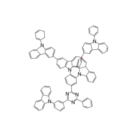 C1=CCCC(n2c3ccccc3c3cc(-c4ccc5c(c4)c4cc(-c6ccc7c(c6)c6ccccc6n7-c6ccccc6)ccc4n5-c4ccc(-c5nc(-c6ccccc6)nc(-c6cccc(-n7c8ccccc8c8ccccc87)c6)n5)cc4N4c5ccccc5C5C=CC=CC54)ccc32)=C1